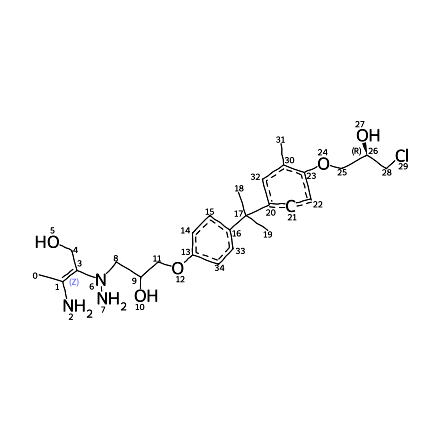 C/C(N)=C(\CO)N(N)CC(O)COc1ccc(C(C)(C)c2ccc(OC[C@@H](O)CCl)c(C)c2)cc1